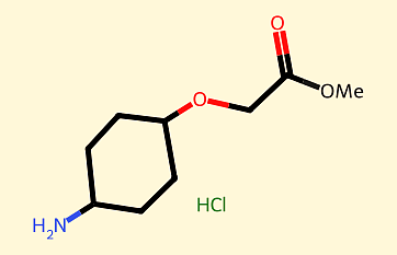 COC(=O)COC1CCC(N)CC1.Cl